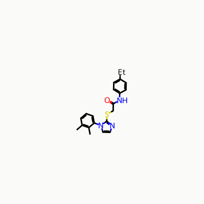 CCc1ccc(NC(=O)CSc2nccn2-c2cccc(C)c2C)cc1